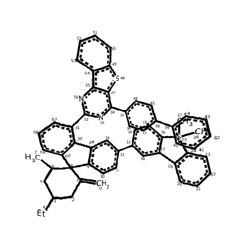 C=C1CC(CC)CC(C)C12c1ccc(-c3ccc4c(c3)-c3ccccc3S4(C)C)cc1-c1c(-c3nc(-c4ccc(-c5ccccc5)cc4)c4sc5ccccc5c4n3)cccc12